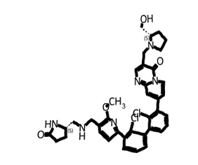 COc1nc(-c2cccc(-c3cccc(-c4ccn5c(=O)c(CN6CCC[C@H]6CO)cnc5c4)c3Cl)c2Cl)ccc1CNC[C@@H]1CCC(=O)N1